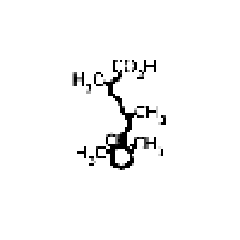 CC(CCCC(C)CC(=O)O)CCC1C(C)CCCC1(C)C